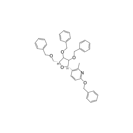 Cc1nc(OCc2ccccc2)ccc1[C@@H]1O[C@H](COCc2ccccc2)C(OCc2ccccc2)C1OCc1ccccc1